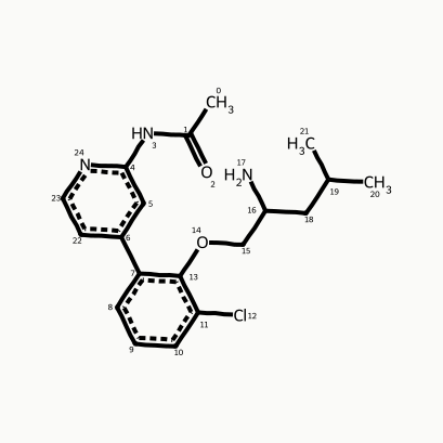 CC(=O)Nc1cc(-c2cccc(Cl)c2OCC(N)CC(C)C)ccn1